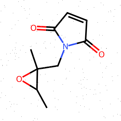 CC1OC1(C)CN1C(=O)C=CC1=O